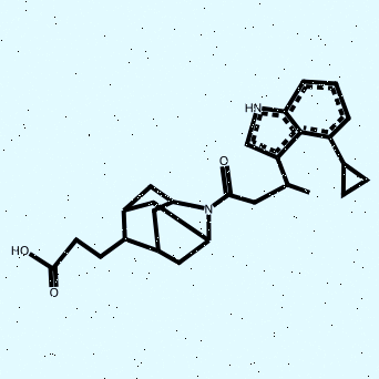 CC(CC(=O)N1C2CC3CC1CC(C2)C3CCC(=O)O)c1c[nH]c2cccc(C3CC3)c12